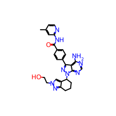 Cc1ccnc(NC(=O)c2ccc(-c3nn([C@H]4CCCc5nn(CCO)cc54)c4ncnc(N)c34)cc2)c1